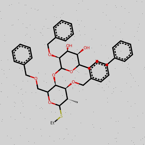 CCSC1OC(COCc2ccccc2)[C@@H](OC2OC(COCc3ccccc3)[C@H](O)[C@H](O)[C@@H]2OCc2ccccc2)[C@@H](OCc2ccccc2)[C@@H]1C